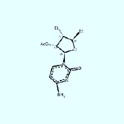 CC[C@H]1[C@@H](OC(C)=O)[C@H](n2ccc(N)nc2=O)O[C@@H]1CC